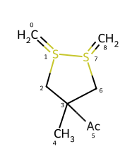 C=S1CC(C)(C(C)=O)CS1=C